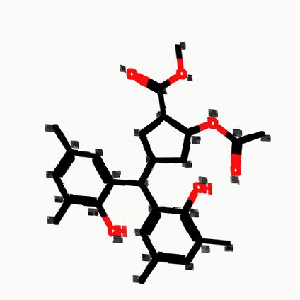 COC(=O)C1CC(C(c2cc(C)cc(C)c2O)c2cc(C)cc(C)c2O)CC1OC(C)=O